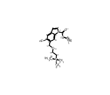 CC(C)(C)OC(=O)n1ccc2cc(Br)c(COCC[Si](C)(C)C)cc21